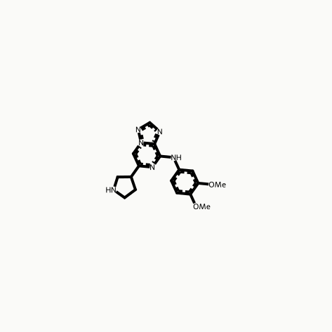 COc1ccc(Nc2nc(C3CCNC3)cn3ncnc23)cc1OC